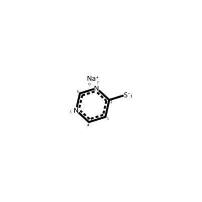 [Na+].[S-]c1ccncn1